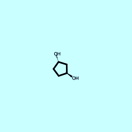 O[C@H]1CC[C@H](O)C1